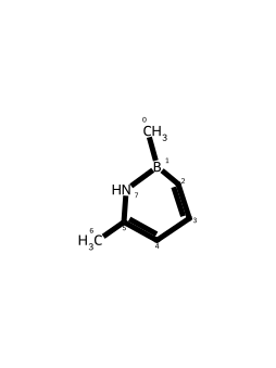 CB1C=CC=C(C)N1